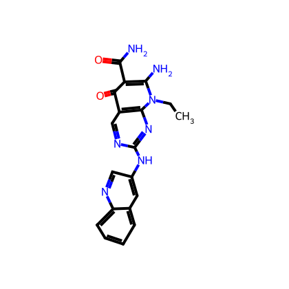 CCn1c(N)c(C(N)=O)c(=O)c2cnc(Nc3cnc4ccccc4c3)nc21